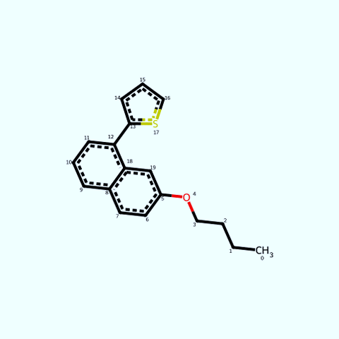 CCCCOc1ccc2cccc(-c3cccs3)c2c1